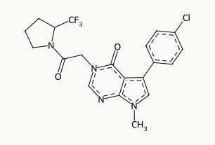 Cn1cc(-c2ccc(Cl)cc2)c2c(=O)n(CC(=O)N3CCCC3C(F)(F)F)cnc21